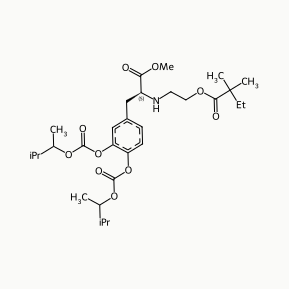 CCC(C)(C)C(=O)OCCN[C@@H](Cc1ccc(OC(=O)OC(C)C(C)C)c(OC(=O)OC(C)C(C)C)c1)C(=O)OC